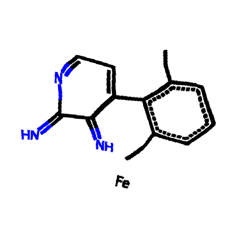 Cc1cccc(C)c1C1=CC=NC(=N)C1=N.[Fe]